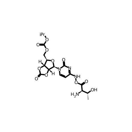 CC(C)OC(=O)OC[C@H]1O[C@@H](n2ccc(NOC(=O)[C@H](N)[C@@H](C)O)nc2=O)[C@@H]2OC(=O)O[C@@H]21